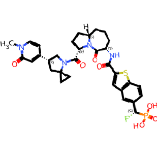 Cn1ccc([C@@H]2CN(C(=O)[C@@H]3CC[C@@H]4CCC[C@H](NC(=O)c5cc6cc([C@@H](F)P(=O)(O)O)ccc6s5)C(=O)N43)C3(CC3)C2)cc1=O